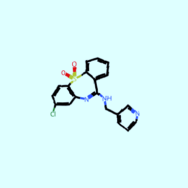 O=S1(=O)c2ccc(Cl)cc2N=C(NCc2cccnc2)c2ccccc21